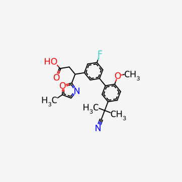 COc1ccc(C(C)(C)C#N)cc1-c1cc(F)cc(C(CC(=O)O)c2ncc(C)o2)c1